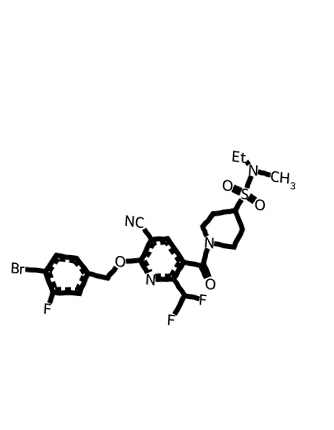 CCN(C)S(=O)(=O)C1CCN(C(=O)c2cc(C#N)c(OCc3ccc(Br)c(F)c3)nc2C(F)F)CC1